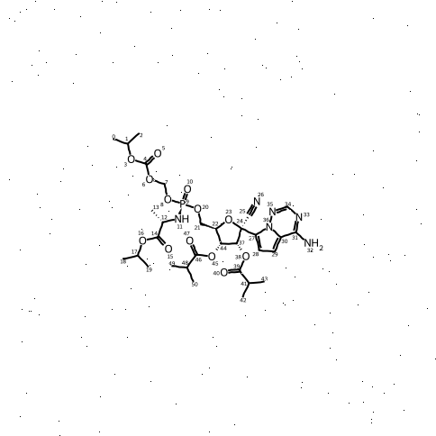 CC(C)OC(=O)OCO[P@@](=O)(N[C@@H](C)C(=O)OC(C)C)OC[C@H]1O[C@@](C#N)(c2ccc3c(N)ncnn23)[C@H](OC(=O)C(C)C)[C@@H]1OC(=O)C(C)C